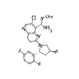 N/C(=N\O)c1c(Cl)cnc2ccc(N3C[C@@H](F)C[C@@H]3c3cc(I)ccc3F)nc12